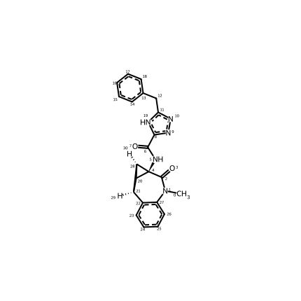 CN1C(=O)[C@]2(NC(=O)c3nnc(Cc4ccccc4)[nH]3)C3[C@@H](c4ccccc41)[C@H]32